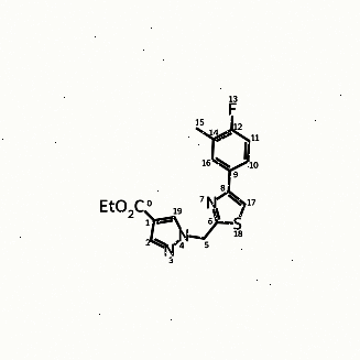 CCOC(=O)c1cnn(Cc2nc(-c3ccc(F)c(C)c3)cs2)c1